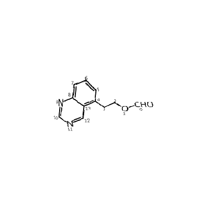 O=COCCc1cccc2ncncc12